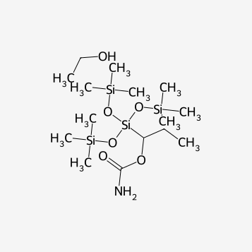 CCC(OC(N)=O)[Si](O[Si](C)(C)C)(O[Si](C)(C)C)O[Si](C)(C)C.CCO